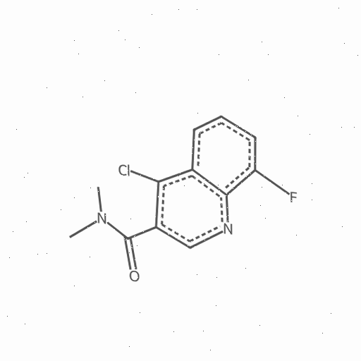 CN(C)C(=O)c1cnc2c(F)cccc2c1Cl